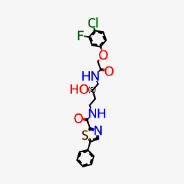 O=C(COc1ccc(Cl)c(F)c1)NC[C@@H](O)CCNC(=O)c1ncc(-c2ccccc2)s1